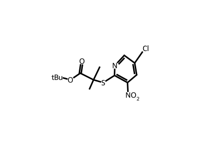 CC(C)(C)OC(=O)C(C)(C)Sc1ncc(Cl)cc1[N+](=O)[O-]